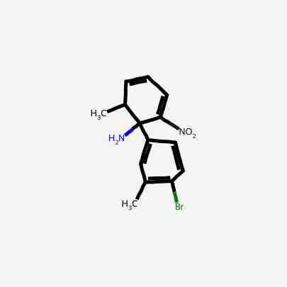 Cc1cc(C2(N)C([N+](=O)[O-])=CC=CC2C)ccc1Br